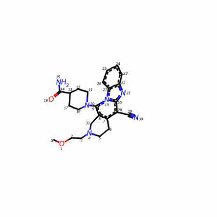 COCCN1CCc2c(c(N3CCC(C(N)=O)CC3)n3c(nc4ccccc43)c2C#N)C1